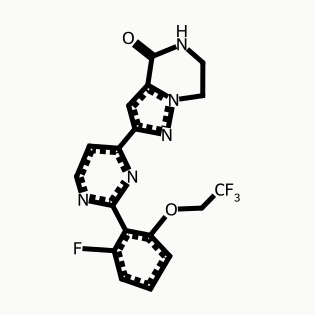 O=C1NCCn2nc(-c3ccnc(-c4c(F)cccc4OCC(F)(F)F)n3)cc21